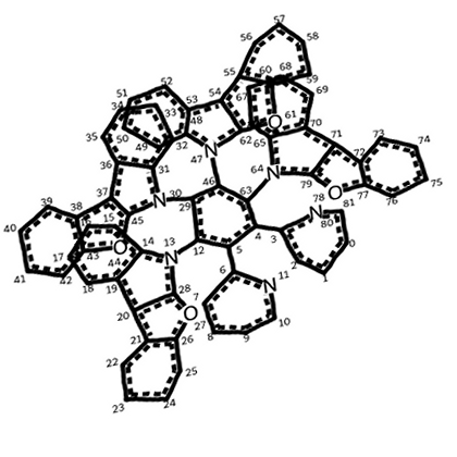 c1ccc(-c2c(-c3ccccn3)c(-n3c4ccccc4c4c5ccccc5oc43)c(-n3c4ccccc4c4c5ccccc5oc43)c(-n3c4ccccc4c4c5ccccc5oc43)c2-n2c3ccccc3c3c4ccccc4oc32)nc1